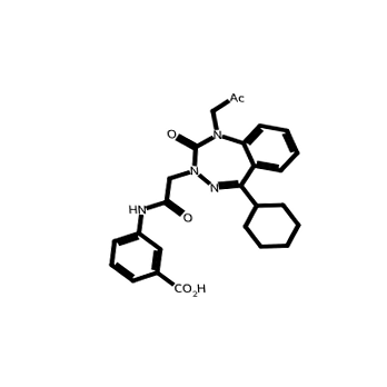 CC(=O)CN1C(=O)N(CC(=O)Nc2cccc(C(=O)O)c2)N=C(C2CCCCC2)c2ccccc21